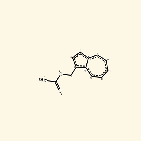 O=CC(=O)OCc1ccc2cccccc1-2